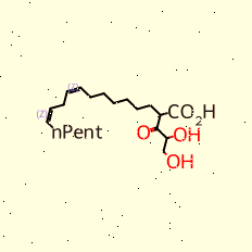 CCCCC/C=C\C/C=C\CCCCCCC(C(=O)O)C(=O)C(O)CO